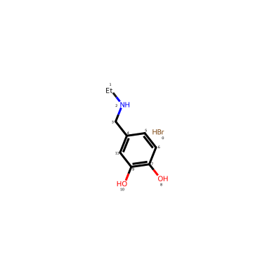 Br.CCNCc1ccc(O)c(O)c1